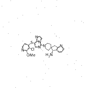 COc1nccc(Sc2cnc(N3CCC4(CC3)Cc3ncccc3[C@H]4N)n3ccnc23)c1Cl